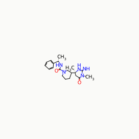 C[C@H](NC(=O)N1CCCC([C@]2(C)CC(=O)N(C)C(=N)N2)C1)c1ccccc1